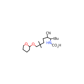 CC(C)(CCC(C#N)C(NC(=O)O)C(C)(C)C)COC1CCCCO1